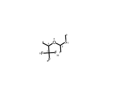 CSC(C)OC(C)C(F)(F)F